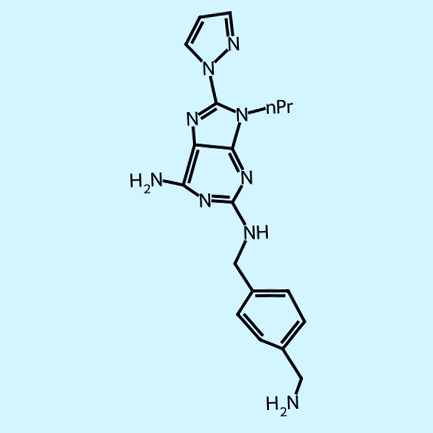 CCCn1c(-n2cccn2)nc2c(N)nc(NCc3ccc(CN)cc3)nc21